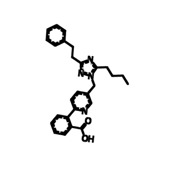 CCCCc1nc(CCc2ccccc2)nn1Cc1ccc(-c2ccccc2C(=O)O)nc1